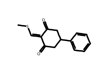 CSC=C1C(=O)CC(c2ccccc2)CC1=O